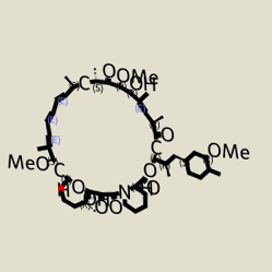 CO[C@H]1C[C@@H]2CCC[C@@H](C)[C@@](O)(O2)C(=O)C(=O)N2CCCC[C@H]2C(=O)O[C@H]([C@H](C)C[C@@H]2CCC(C)[C@H](OC)C2)CC(=O)[C@H](C)/C=C(\C)[C@@H](O)[C@@H](OC)C(=O)[C@@H](C)C[C@H](C)/C=C/C=C/C=C/1C